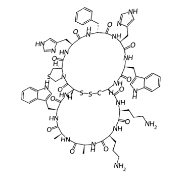 C[C@@H]1NC(=O)[C@H](C)NC(=O)[C@H](CCCN)NC(=O)[C@H](CCCN)NC(=O)[C@@H]2CSS[C@H](NC(=O)[C@H](Cc3c[nH]c4ccccc34)NC1=O)C(=O)N1CSC[C@H]1C(=O)N[C@@H](Cc1c[nH]cn1)C(=O)N[C@H](Cc1ccccc1)C(=O)N[C@@H](Cc1c[nH]cn1)C(=O)N[C@@H](Cc1c[nH]c3ccccc13)C(=O)N2